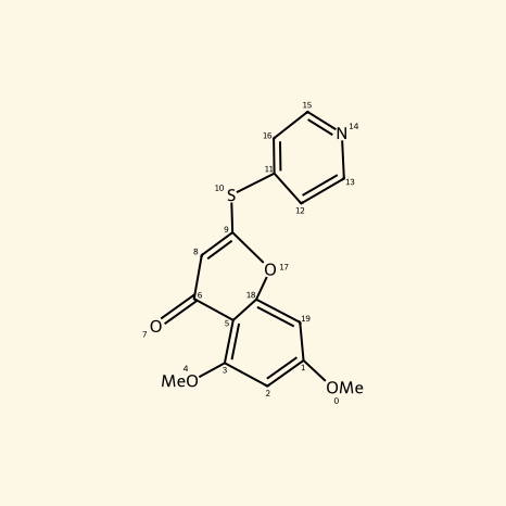 COc1cc(OC)c2c(=O)cc(Sc3ccncc3)oc2c1